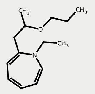 CCCO[C](C)CC1=CC=CC=CN1CC